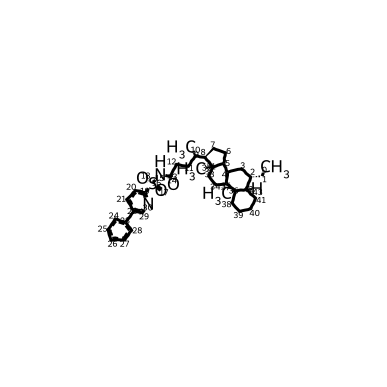 CC[C@H]1CC2C3CC[C@H]([C@H](C)CCC(=O)NS(=O)(=O)c4ccc(-c5ccccc5)cn4)[C@@]3(C)CCC2[C@@]2(C)CCCC[C@@H]12